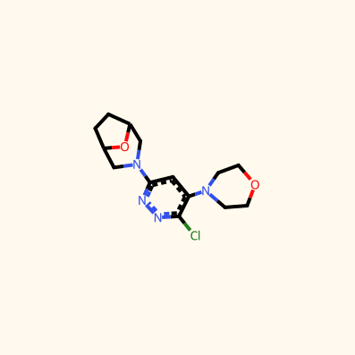 Clc1nnc(N2CC3CCC(C2)O3)cc1N1CCOCC1